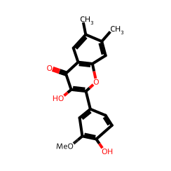 COc1cc(-c2oc3cc(C)c(C)cc3c(=O)c2O)ccc1O